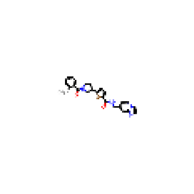 COc1ccccc1C(=O)N1CCC(c2ccc(C(=O)NCc3ccn4ccnc4c3)s2)C1